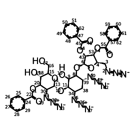 [N-]=[N+]=NC[C@H]1O[C@@H](OC2C(O)[C@H](O[C@H]3OC(CO)[C@@H](O)C(OC(=O)c4ccccc4)C3N=[N+]=[N-])C(N=[N+]=[N-])C[C@H]2N=[N+]=[N-])[C@@H](OC(=O)c2ccccc2)C1OC(=O)c1ccccc1